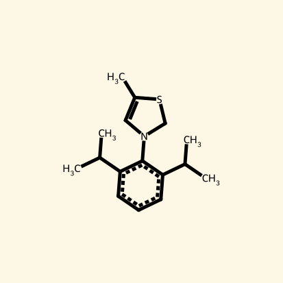 CC1=CN(c2c(C(C)C)cccc2C(C)C)CS1